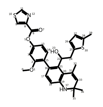 COc1cc(OC(=O)c2cscn2)ccc1-c1ccc2c(c1C(O)Cc1ccc(C)s1)C(C)=CC(C)(C)N2